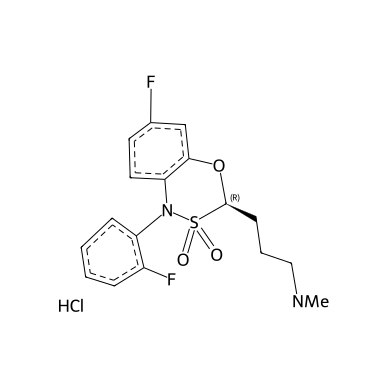 CNCCC[C@@H]1Oc2cc(F)ccc2N(c2ccccc2F)S1(=O)=O.Cl